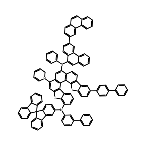 C1=CCN(c2cc3oc4c(N(c5cccc(-c6ccccc6)c5)c5ccc6c(c5)-c5ccccc5C65c6ccccc6-c6ccccc65)cccc4c3c3c2cc(N(c2ccccc2)c2cc4ccccc4c4cc(-c5ccc6ccc7ccccc7c6c5)ccc24)c2ccc4c5cc(-c6ccc(-c7ccccc7)cc6)ccc5oc4c23)C=C1